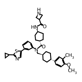 COc1ccc([C@H]2CC[C@H](CN(c3cccc(-c4cnc(C5CC5)s4)c3)C(=O)[C@H]3CC[C@H](NC(=O)C4CNC4)CC3)CC2)cc1C